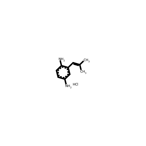 CC(C)=Cc1cc(N)ccc1N.Cl